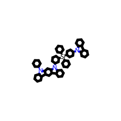 c1ccc(-n2c3ccccc3c3cc4c5ccccc5n(-c5cccc([Si](c6ccccc6)(c6ccccc6)c6ccc(-n7c8ccccc8c8ccccc87)cc6)c5)c4cc32)cc1